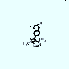 Cn1nc(-c2ccc3cc(O)ccc3c2)c2c(N)ncnc21